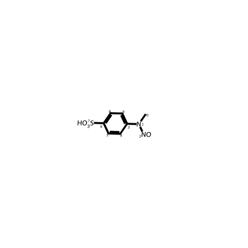 CN(N=O)c1ccc(S(=O)(=O)O)cc1